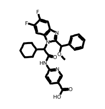 COC(c1ccccc1)c1nc2cc(F)c(F)cc2n1C(C(=O)Nc1ccc(C(=O)O)cn1)C1CCCCC1